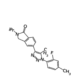 Cc1ccc(-n2nnc(-c3ccc4c(c3)CN(C(C)C)C4=O)c2C)c(F)c1